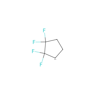 FC1(F)[C]CCC1(F)F